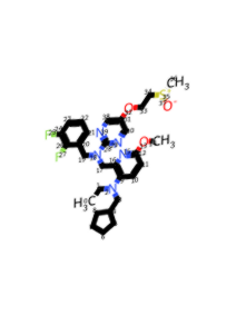 CCN(CC1CCCC1)c1ccc(OC)nc1CN(Cc1cccc(F)c1F)c1ncc(OCC[S+](C)[O-])cn1